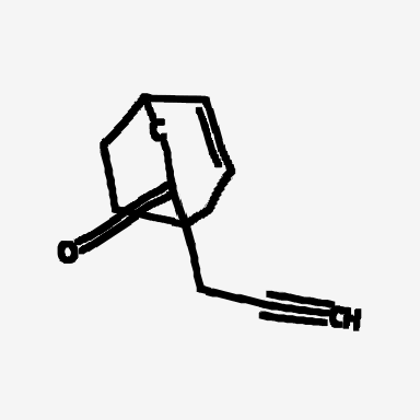 C#CCC12C=CC(CC1)CC2=O